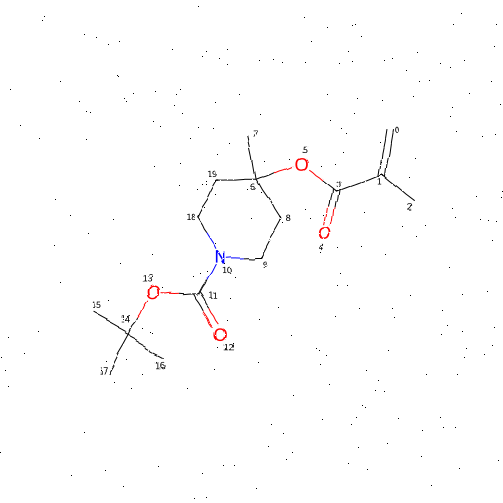 C=C(C)C(=O)OC1(C)CCN(C(=O)OC(C)(C)C)CC1